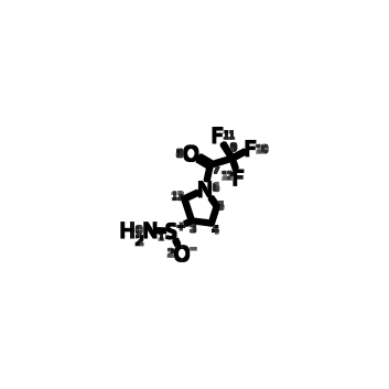 N[S+]([O-])C1CCN(C(=O)C(F)(F)F)C1